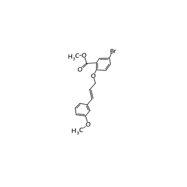 COC(=O)c1cc(Br)ccc1OCC=Cc1cccc(OC)c1